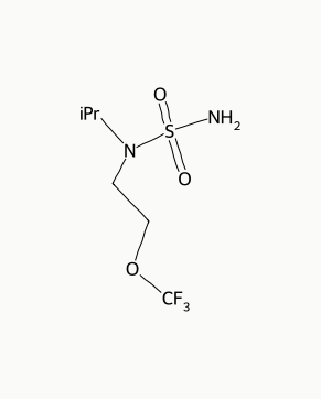 CC(C)N(CCOC(F)(F)F)S(N)(=O)=O